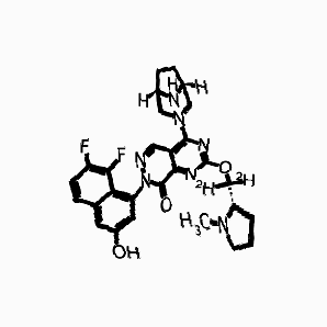 [2H]C([2H])(Oc1nc(N2C[C@H]3CC[C@@H](C2)N3)c2cnn(-c3cc(O)cc4ccc(F)c(F)c34)c(=O)c2n1)[C@@H]1CCCN1C